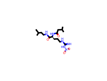 CC(C)C[CH]NC(=O)[C@H](CCCNC(=N)N[N+](=O)[O-])NC(=O)CC(C)C